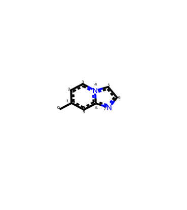 Cc1ccn2[c]cnc2c1